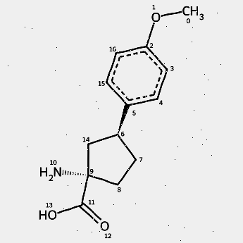 COc1ccc([C@H]2CC[C@@](N)(C(=O)O)C2)cc1